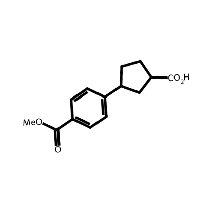 COC(=O)c1ccc(C2CCC(C(=O)O)C2)cc1